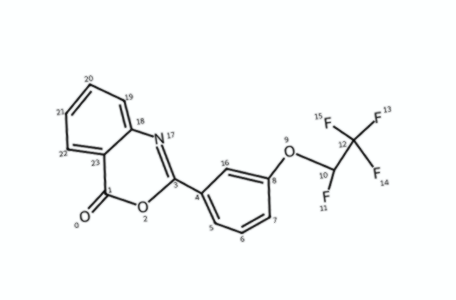 O=c1oc(-c2cccc(OC(F)C(F)(F)F)c2)nc2ccccc12